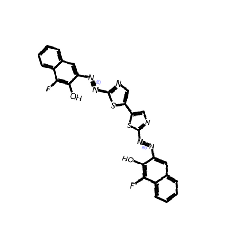 Oc1c(/N=N/c2ncc(-c3cnc(/N=N/c4cc5ccccc5c(F)c4O)s3)s2)cc2ccccc2c1F